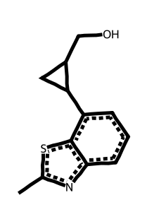 Cc1nc2cccc(C3CC3CO)c2s1